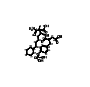 CC(C(N)=O)(C(=O)O)C(CCCCC1CCCCC1)NC(=O)N(CC(=O)O)Cc1ccc(OP(=O)(O)O)cc1